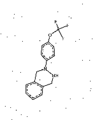 FC(F)(F)Oc1ccc(N2Cc3ccccc3CN2)cc1